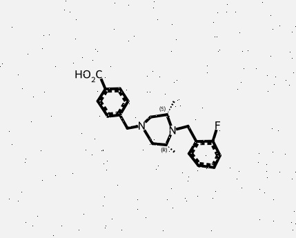 C[C@@H]1CN(Cc2ccc(C(=O)O)cc2)C[C@H](C)N1Cc1ccccc1F